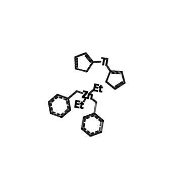 C1=CC[C]([Ti][C]2=CC=CC2)=C1.C[CH2][Zn]([CH2]C)([CH2]c1ccccc1)[CH2]c1ccccc1